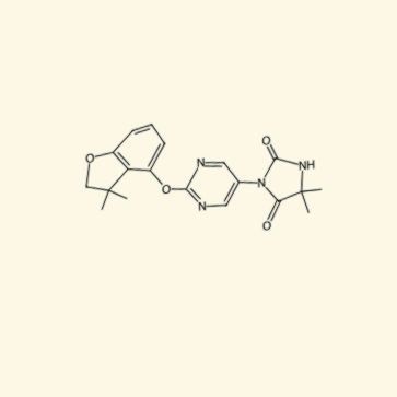 CC1(C)NC(=O)N(c2cnc(Oc3cccc4c3C(C)(C)CO4)nc2)C1=O